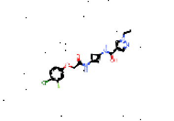 CCn1cc(C(O)NC23CC(NC(=O)COc4ccc(Cl)c(F)c4)(C2)C3)cn1